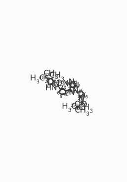 Cc1cc(NC(=O)c2cccc(-c3nn(C4CC5CC4N(C(=O)OC(C)(C)C)C5)c4ncnc(N)c34)c2)ccc1C(C)C